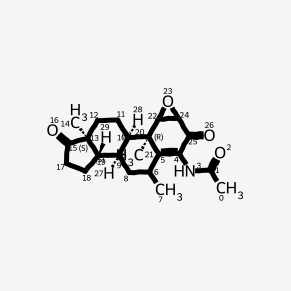 CC(=O)NC1=C2C(C)C[C@@H]3[C@@H](CC[C@]4(C)C(=O)CC[C@@H]34)[C@@]2(C)C2OC2C1=O